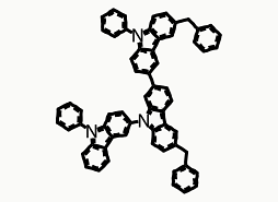 c1ccc(Cc2ccc3c(c2)c2cc(-c4ccc5c6cc(Cc7ccccc7)ccc6n(-c6ccc7c(c6)c6ccccc6n7-c6ccccc6)c5c4)ccc2n3-c2ccccc2)cc1